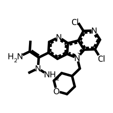 C/C(N)=C(\c1cnc2c3c(Cl)ncc(Cl)c3n(CC3CCOCC3)c2c1)N(C)N